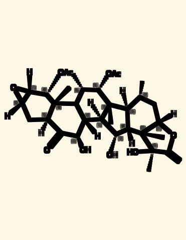 C=C1O[C@H]2C[C@@H](C)[C@H]3[C@@H]([C@H](O)[C@H]4[C@H]5C([C@H](C)[C@H](OC(C)=O)[C@]34C)[C@]3(C)[C@H](C[C@@H]4O[C@@H]4[C@@H]3OC(C)=O)C(=O)[C@@H]5O)[C@@]2(C)[C@]1(C)O